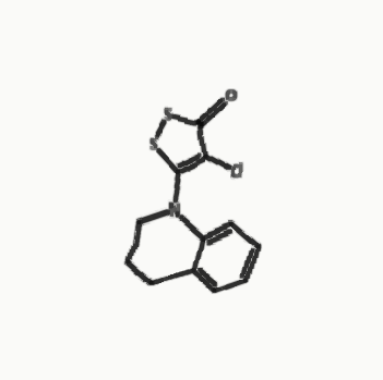 O=c1ssc(N2CCCc3ccccc32)c1Cl